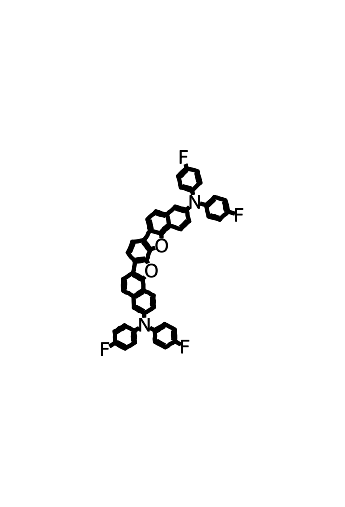 Fc1ccc(N(c2ccc(F)cc2)c2ccc3c(ccc4c5ccc6c7ccc8cc(N(c9ccc(F)cc9)c9ccc(F)cc9)ccc8c7oc6c5oc34)c2)cc1